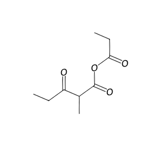 CCC(=O)OC(=O)C(C)C(=O)CC